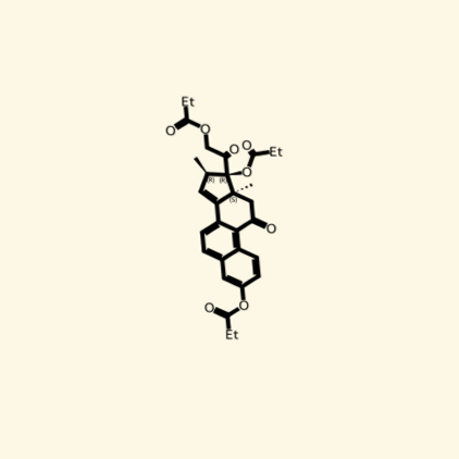 CCC(=O)OCC(=O)[C@@]1(OC(=O)CC)[C@H](C)C=C2c3ccc4cc(OC(=O)CC)ccc4c3C(=O)C[C@@]21C